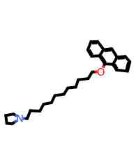 c1ccc2c(OCCCCCCCCCCCCN3CCCC3)c3ccccc3cc2c1